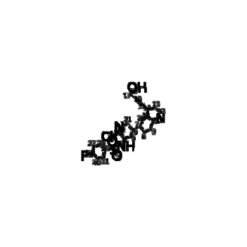 O=S(=O)(Nc1cc(-c2ccc3nccc(C#CCO)c3c2)cnc1Cl)c1ccc(F)cc1